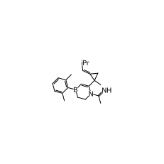 CC(=N)N1CCB(c2c(C)cccc2C)C=C1C1(C)C/C1=C\C(C)C